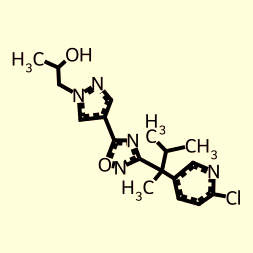 CC(O)Cn1cc(-c2nc(C(C)(c3ccc(Cl)nc3)C(C)C)no2)cn1